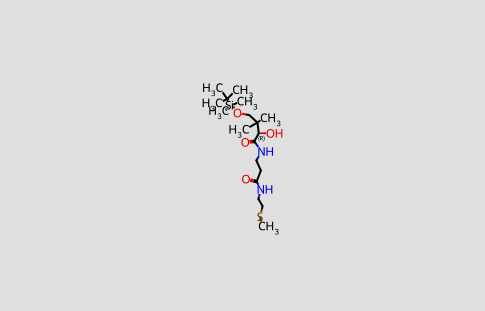 CSCCNC(=O)CCNC(=O)[C@H](O)C(C)(C)CO[Si](C)(C)C(C)(C)C